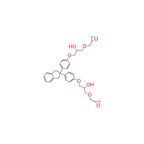 OC(COCC1CO1)COc1ccc(C2(c3ccc(OCC(O)COCC4CO4)cc3)Cc3ccccc3C2)cc1